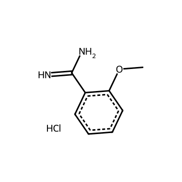 COc1ccccc1C(=N)N.Cl